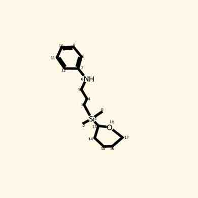 C[Si](C)(CCCNc1ccccc1)C1CCCCO1